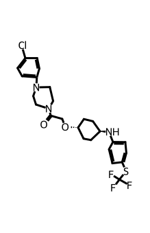 O=C(CO[C@H]1CC[C@H](Nc2ccc(SC(F)(F)F)cc2)CC1)N1CCN(c2ccc(Cl)cc2)CC1